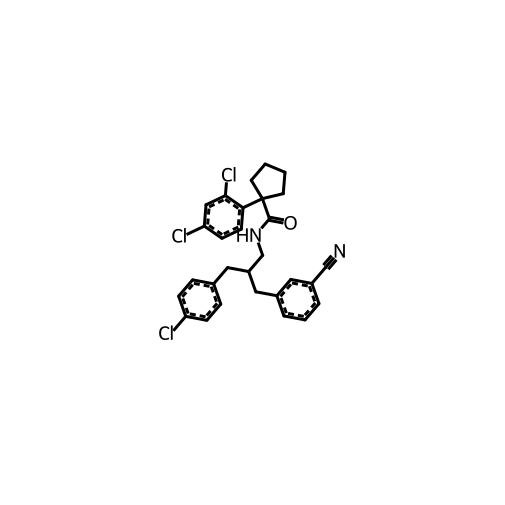 N#Cc1cccc(CC(CNC(=O)C2(c3ccc(Cl)cc3Cl)CCCC2)Cc2ccc(Cl)cc2)c1